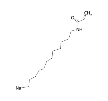 C=CC(=O)NCCCCCCCCCCC[CH2][Na]